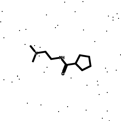 CN(C)CCNC(=O)C1CCCC1